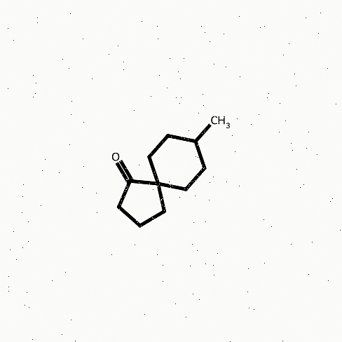 CC1CCC2(CCCC2=O)CC1